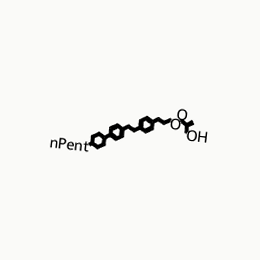 C=C(CO)C(=O)OCCCc1ccc(CCc2ccc(C3CCC(CCCCC)CC3)cc2)cc1